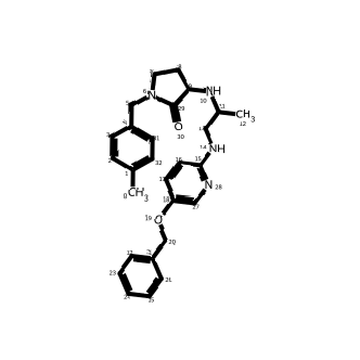 Cc1ccc(CN2CCC(NC(C)CNc3ccc(OCc4ccccc4)cn3)C2=O)cc1